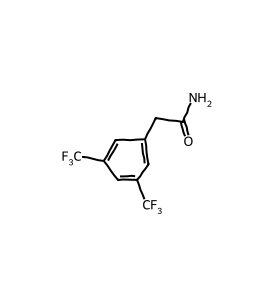 NC(=O)Cc1cc(C(F)(F)F)cc(C(F)(F)F)c1